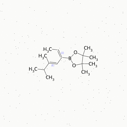 C/C=C(\C=C(/C)C(C)C)B1OC(C)(C)C(C)(C)O1